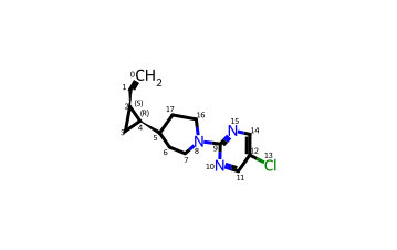 C=C[C@@H]1C[C@@H]1C1CCN(c2ncc(Cl)cn2)CC1